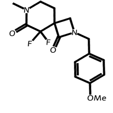 COc1ccc(CN2CC3(CCN(C)C(=O)C3(F)F)C2=O)cc1